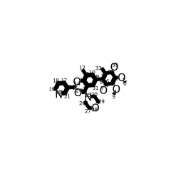 COC1=C(OC)C(=O)C(c2cc(C)c(OCc3cccnc3)c(C(=O)N3CCOCC3)c2)=C(C)C1=O